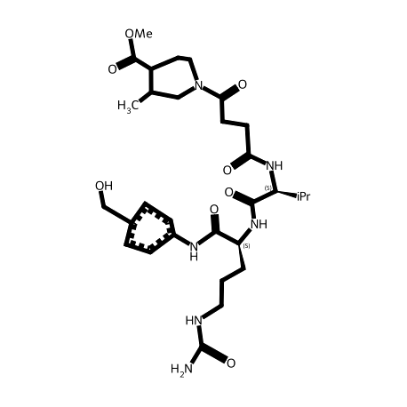 COC(=O)C1CCN(C(=O)CCC(=O)N[C@H](C(=O)N[C@@H](CCCNC(N)=O)C(=O)Nc2ccc(CO)cc2)C(C)C)CC1C